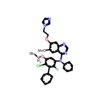 COc1cc2c(N(c3ccccc3)c3cc(O[SiH2]C(C)(C)C)c(Cl)c(-c4ccccc4)c3F)ncnc2cc1OCCn1ccnc1